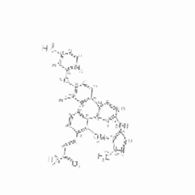 COc1c(C=CC(N)=O)cccc1-c1nc(Nc2cnn(C)c2)ncc1-c1ccc(Oc2nccc(C)n2)c(F)c1